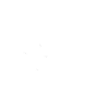 CN(c1ccc(OC(F)(F)F)cc1)c1nc(Cl)nc2ccn(C)c12